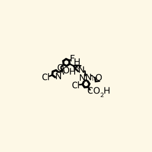 C[C@@]1(c2ccc(Cl)cn2)Oc2ccc(F)c(C3[C@H]4CN(Cc5nc6c(Cl)cc(C(=O)O)cc6n5C[C@@H]5CCO5)C[C@@H]34)c2O1